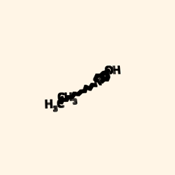 CC(C)CCCCCCCCCCCN1CCc2cc(O)ccc2C1